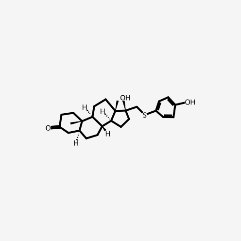 C[C@]12CCC(=O)C[C@@H]1CC[C@@H]1[C@@H]2CC[C@@]2(C)[C@H]1CC[C@@]2(O)CSc1ccc(O)cc1